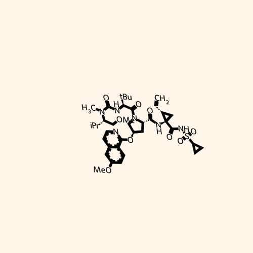 C=C[C@@H]1C[C@]1(NC(=O)[C@@H]1C[C@@H](Oc2nccc3cc(OC)ccc23)CN1C(=O)[C@@H](NC(=O)N(C)[C@H](COC)C(C)C)C(C)(C)C)C(=O)NS(=O)(=O)C1CC1